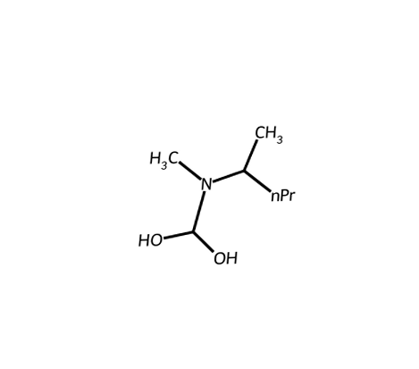 CCCC(C)N(C)C(O)O